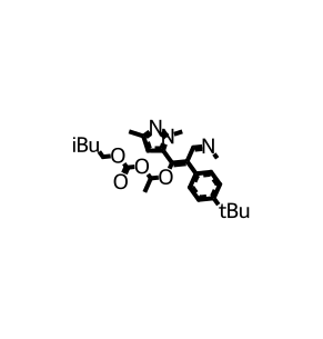 CCC(C)COC(=O)OC(C)O/C(=C(/C=N\C)c1ccc(C(C)(C)C)cc1)c1cc(C)nn1C